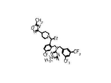 CCC(c1ccc(C(F)(F)F)cc1CN(Cc1cc(C(F)(F)F)cc(C(F)(F)F)c1)c1nnn(C)n1)N1CCC(c2noc(C)n2)CC1